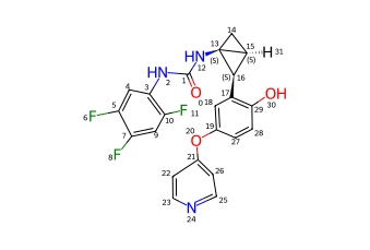 O=C(Nc1cc(F)c(F)cc1F)N[C@@]12C[C@H]1[C@H]2c1cc(Oc2ccncc2)ccc1O